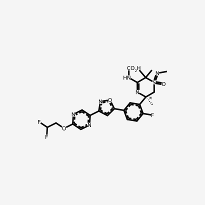 CN=S1(=O)C[C@@](C)(c2cc(-c3cc(-c4cnc(OCC(F)F)cn4)no3)ccc2F)N=C(NC(=O)O)C1(C)C